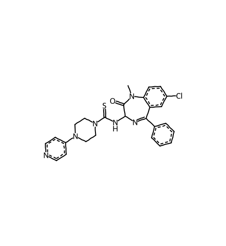 CN1C(=O)C(NC(=S)N2CCN(c3ccncc3)CC2)N=C(c2ccccc2)c2cc(Cl)ccc21